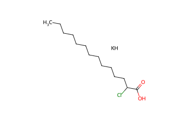 CCCCCCCCCCCCC(Cl)C(=O)O.[KH]